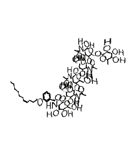 CCCCCC/C=C\CCCOc1cccc(C(=O)N[C@H]2C(O)[C@H](O)C(CO)O[C@H]2O[C@H]2C(O)C(NC(C)=O)[C@H](OC3C(CO)O[C@@H](O[C@H]4C(O)C(NC(C)=O)C(OC5C(CO[C@@H]6OC(C)C(O)[C@H](O)[C@H]6O)OC(O)[C@@H](NC(C)=O)[C@H]5O)O[C@H]4CO)[C@@H](NC(C)=O)[C@H]3O)O[C@H]2CO)c1